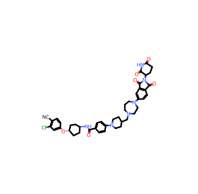 N#Cc1ccc(O[C@H]2CC[C@H](NC(=O)c3ccc(N4CCC(CN5CCCN(c6ccc7c(c6)C(=O)N(C6CCC(=O)NC6=O)C7=O)CC5)CC4)cc3)CC2)cc1Cl